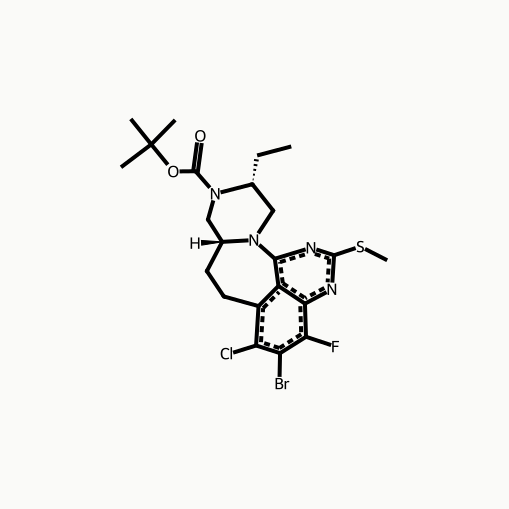 CC[C@@H]1CN2c3nc(SC)nc4c(F)c(Br)c(Cl)c(c34)CC[C@@H]2CN1C(=O)OC(C)(C)C